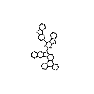 c1ccc2cc3c(cc2c1)c1c2c4ccccc4c4ccccc4c2ccc1n3-c1nc(-c2ccc3sc4ccccc4c3c2)c2c(n1)sc1ccccc12